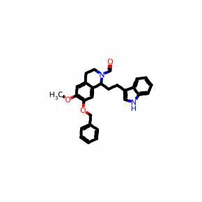 COc1cc2c(cc1OCc1ccccc1)C(CCc1c[nH]c3ccccc13)N(C=O)CC2